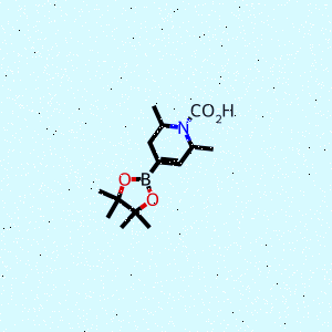 CC1C=C(B2OC(C)(C)C(C)(C)O2)CC(C)N1C(=O)O